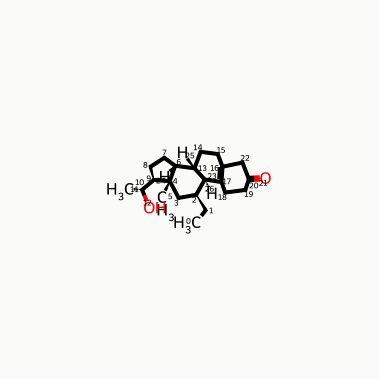 CC[C@H]1C[C@@]2(C)[C@H](CC[C@@H]2[C@@H](C)O)[C@@H]2CCC3=C(CCC(=O)C3)[C@@H]12